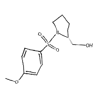 COc1ccc(S(=O)(=O)N2CCC[C@@H]2CO)cc1